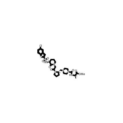 COC(=O)[C@@H](C)NC(=O)N1CCN(C[C@@H]2CCCN2C(=O)CN2CCC[C@H](NS(=O)(=O)c3cc4cc(Cl)ccc4s3)C2=O)CC1